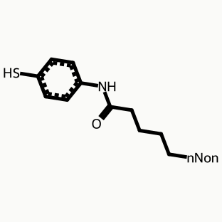 CCCCCCCCCCCCCC(=O)Nc1ccc(S)cc1